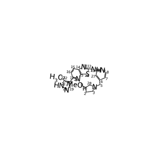 CO[C@@H]1CCN(Cc2ccnc(Nc3nc4ccc(-c5cn[nH]c5C)nc4s3)c2)C1